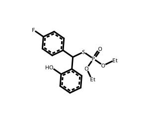 CCOP(=O)(OCC)SC(c1ccc(F)cc1)c1ccccc1O